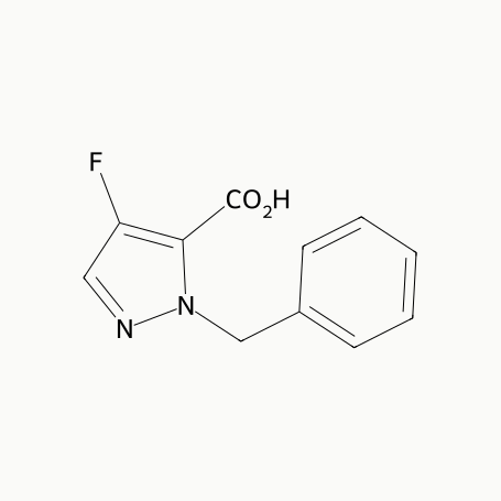 O=C(O)c1c(F)cnn1Cc1ccccc1